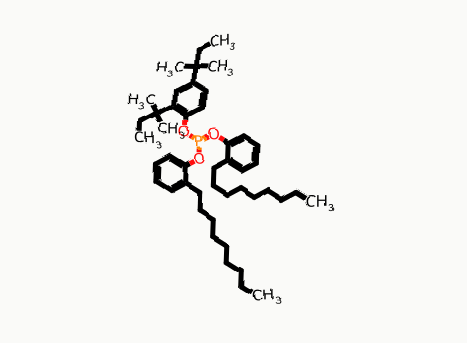 CCCCCCCCCc1ccccc1OP(Oc1ccccc1CCCCCCCCC)Oc1ccc(C(C)(C)CC)cc1C(C)(C)CC